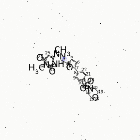 CN(/N=C/c1ccc(-c2ccc(S(=O)(=O)N3CCOCC3)cc2)o1)c1cc(=O)n(C)c(=O)[nH]1